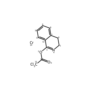 O=C(OC1=NCCc2ccccc21)C(Cl)(Cl)Cl.[Cr]